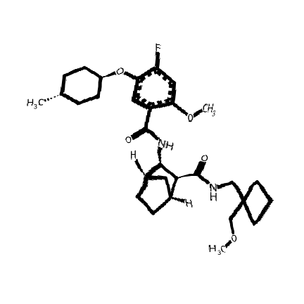 COCC1(CNC(=O)[C@H]2[C@@H]3CC[C@@H](C3)[C@H]2NC(=O)c2cc(O[C@H]3CC[C@H](C)CC3)c(F)cc2OC)CCC1